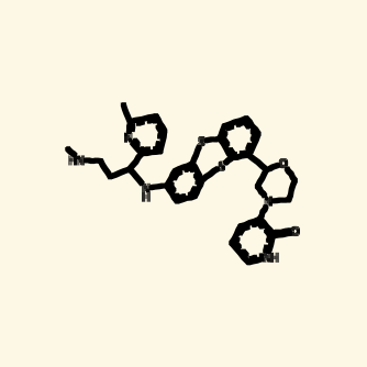 CNCCC(Nc1ccc2c(c1)Sc1cccc(C3CN(c4ccc[nH]c4=O)CCO3)c1S2)c1cccc(C)n1